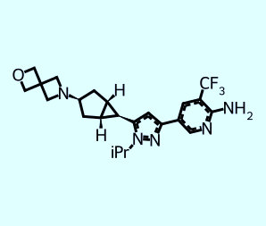 CC(C)n1nc(-c2cnc(N)c(C(F)(F)F)c2)cc1[C@H]1[C@@H]2C[C@@H](N3CC4(COC4)C3)C[C@@H]21